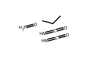 CCC.N=C=O.N=C=O.O=[PH3]